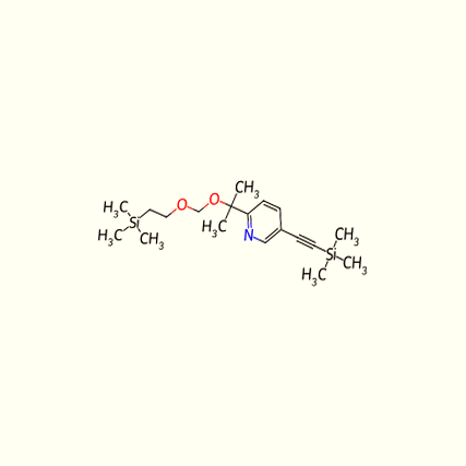 CC(C)(OCOCC[Si](C)(C)C)c1ccc(C#C[Si](C)(C)C)cn1